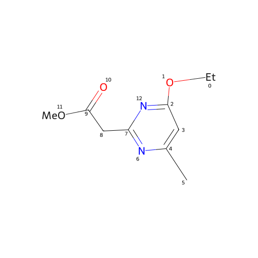 CCOc1cc(C)nc(CC(=O)OC)n1